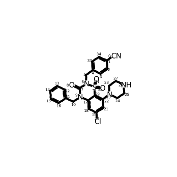 N#Cc1ccc(CN2C(=O)N(Cc3ccccc3)c3cc(Cl)cc(N4CCNCC4)c3S2(=O)=O)cc1